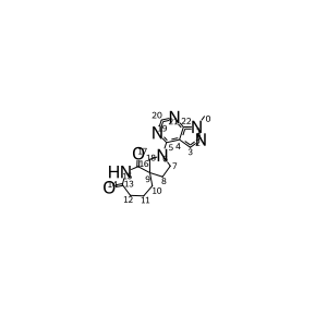 Cn1ncc2c(N3CCC4(CCCC(=O)NC4=O)C3)ncnc21